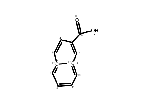 O=C(O)c1cc[13c]2cccc[13c]2c1